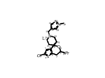 CC(C)C1Cc2sc(Cl)cc2C2(CCN(Cc3cnn(C)c3)[C@@H](C)C2)O1